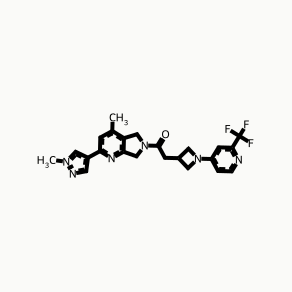 Cc1cc(-c2cnn(C)c2)nc2c1CN(C(=O)CC1CN(c3ccnc(C(F)(F)F)c3)C1)C2